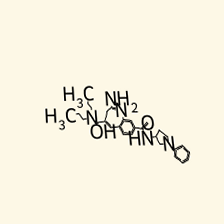 CCCN(CCC)C(O)C1=Cc2ccc(C(=O)N[C@H]3CCN(c4ccccc4)C3)cc2N=C(N)C1